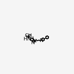 CCC(=O)Nc1ccc2c(c1)ncn2CCCCN1CC=C(c2ccccc2)CC1